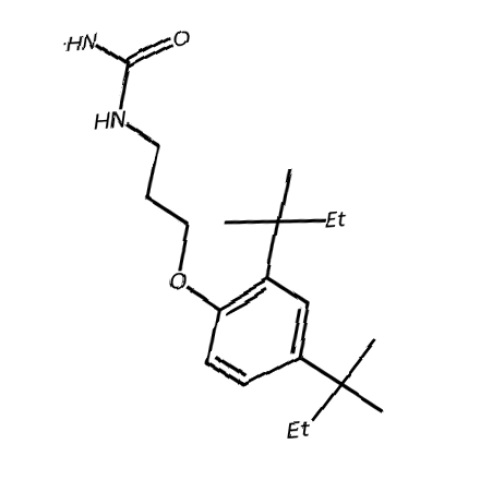 CCC(C)(C)c1ccc(OCCCNC([NH])=O)c(C(C)(C)CC)c1